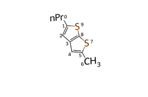 CCCc1cc2cc(C)sc2s1